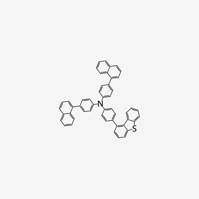 c1ccc2c(-c3ccc(N(c4ccc(-c5cccc6ccccc56)cc4)c4ccc(-c5cccc6sc7ccccc7c56)cc4)cc3)cccc2c1